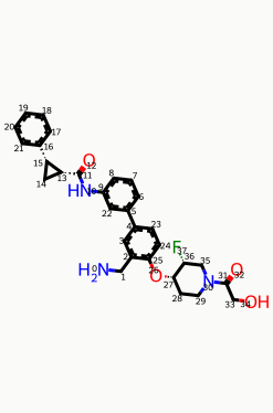 NCc1cc(-c2cccc(NC(=O)[C@@H]3C[C@@H]3c3ccccc3)c2)ccc1O[C@H]1CCN(C(=O)CO)C[C@H]1F